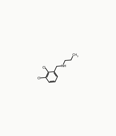 CCCNCc1cccc(Cl)c1Cl